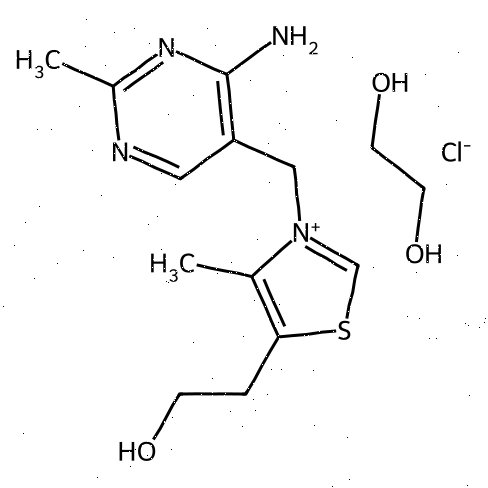 Cc1ncc(C[n+]2csc(CCO)c2C)c(N)n1.OCCO.[Cl-]